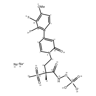 COc1ccc(-c2ccn(CC[C@](C)(C(=O)NOP(=O)([O-])[O-])S(C)(=O)=O)c(=O)c2)c(F)c1F.[Na+].[Na+]